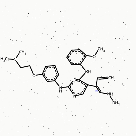 C=C/C(=C\NN)c1cnc(Nc2cccc(OCCN(C)C)c2)nc1Nc1ccccc1OC